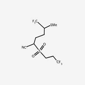 CSC(CCC(C#N)S(=O)(=O)CCC(F)(F)F)C(F)(F)F